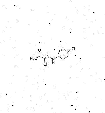 CC(=O)C(Cl)=NNc1ccc(Cl)cc1